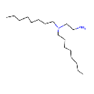 CCCCCCCCN(CCN)CCCCCCCC